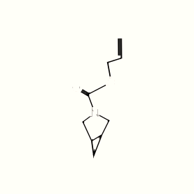 C=CCOC(=O)N1CC2CC2C1